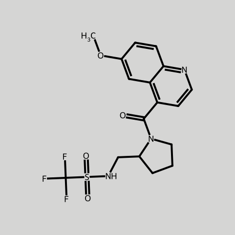 COc1ccc2nccc(C(=O)N3CCCC3CNS(=O)(=O)C(F)(F)F)c2c1